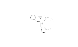 FC(F)(F)CN1CCC2(CC1)Nc1ccccc1N=C2NCc1cccc(Cl)c1